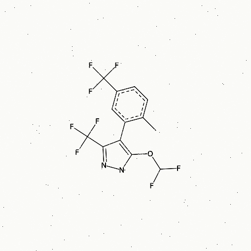 Cc1ccc(C(F)(F)F)cc1C1=C(OC(F)F)[N]N=C1C(F)(F)F